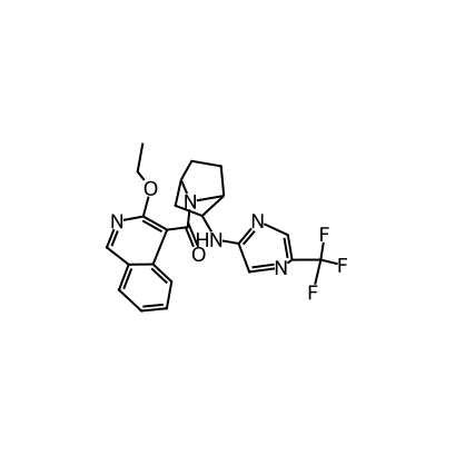 CCOc1ncc2ccccc2c1C(=O)N1C2CCC1C(Nc1cnc(C(F)(F)F)cn1)C2